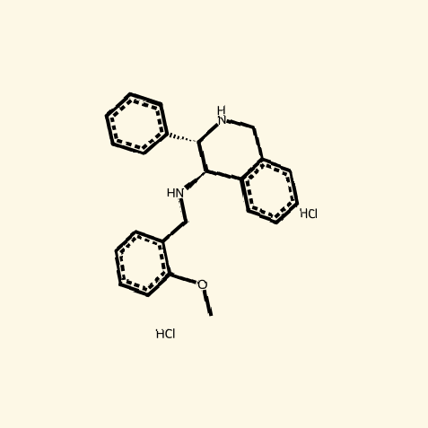 COc1ccccc1CN[C@@H]1c2ccccc2CN[C@H]1c1ccccc1.Cl.Cl